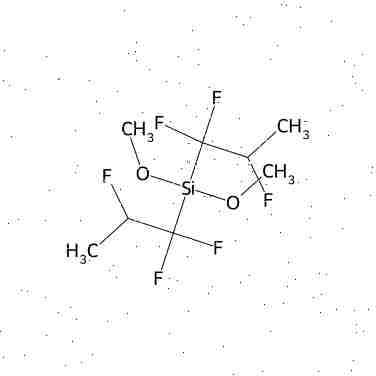 CO[Si](OC)(C(F)(F)C(C)F)C(F)(F)C(C)F